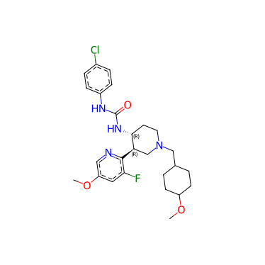 COc1cnc([C@@H]2CN(CC3CCC(OC)CC3)CC[C@H]2NC(=O)Nc2ccc(Cl)cc2)c(F)c1